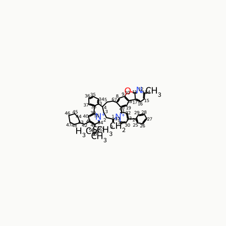 C=C1CC2C(CCc3cc4oc5nc(C)ccc5c4cc3-c3cc(-c4ccccc4)cc[n+]31)c1ccccc1-c1cc(CC3CCCCC3)c([Si](C)(C)C)c[n+]12